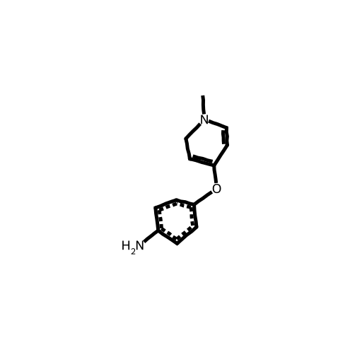 CN1C=CC(Oc2ccc(N)cc2)=CC1